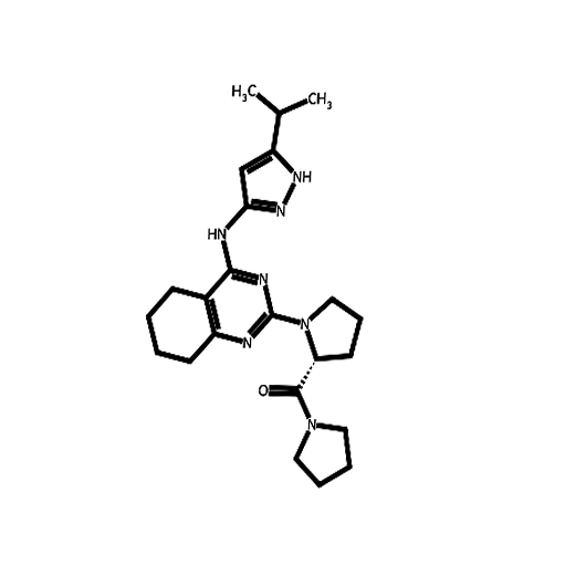 CC(C)c1cc(Nc2nc(N3CCC[C@@H]3C(=O)N3CCCC3)nc3c2CCCC3)n[nH]1